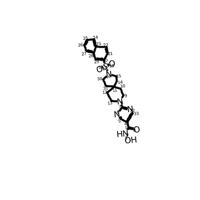 O=C(NO)c1cnc(N2CCC3(CC2)CCN(S(=O)(=O)c2ccc4ccccc4c2)CC3)nc1